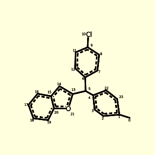 Cc1ccc(C(c2ccc(Cl)cc2)c2cc3ccccc3o2)cc1